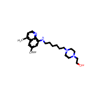 COc1cc(NCCCCCCN2CCN(CCO)CC2)c2nccc(C)c2c1